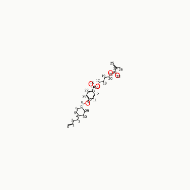 C=CCC[C@H]1CC[C@H](COc2ccc(C(=O)OCCCCOC(=O)C(=C)C)cc2)CC1